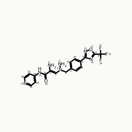 N/C(=C\N(N)Cc1ccc(-c2noc(C(F)(F)F)n2)cc1)C(=O)Nc1ccncc1